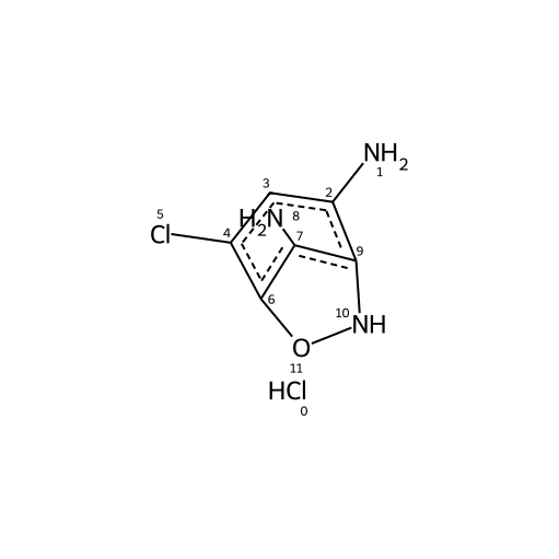 Cl.Nc1cc(Cl)c2c(N)c1NO2